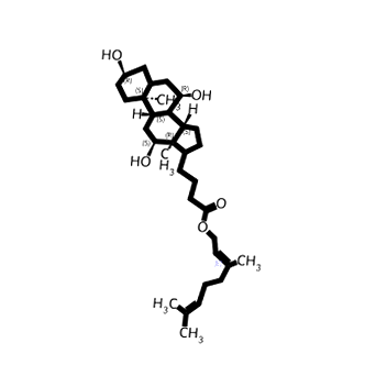 CC(C)=CCC/C(C)=C/COC(=O)CCCC1CC[C@H]2C3[C@H](O)CC4C[C@H](O)CC[C@]4(C)[C@H]3C[C@H](O)[C@]12C